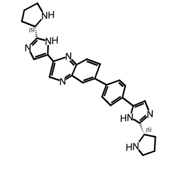 c1cc(-c2cnc([C@@H]3CCCN3)[nH]2)ccc1-c1ccc2nc(-c3cnc([C@@H]4CCCN4)[nH]3)cnc2c1